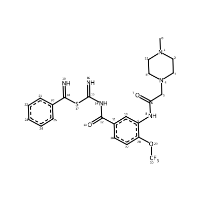 CN1CCN(CC(=O)Nc2cc(C(=O)NC(=N)SC(=N)c3ccccc3)ccc2OC(F)(F)F)CC1